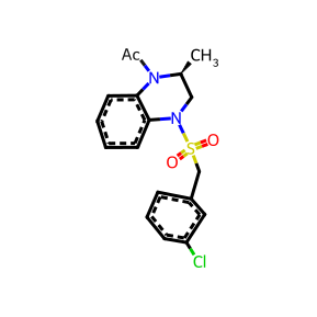 CC(=O)N1c2ccccc2N(S(=O)(=O)Cc2cccc(Cl)c2)C[C@@H]1C